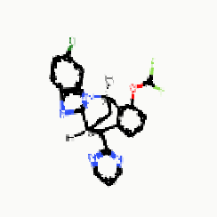 FC(F)Oc1cccc2c1[C@H]1C[C@@H](c3nc4ccc(Cl)cc4n31)C2c1ncccn1